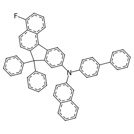 Fc1cccc2c3c(ccc12)C(c1ccccc1)(c1ccccc1)c1cc(N(c2ccc(-c4ccccc4)cc2)c2ccc4ccccc4c2)ccc1-3